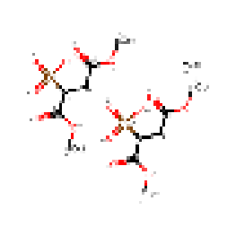 CCCCCCCCOC(=O)CC(C(=O)OCCCCCCCC)S(=O)(=O)[O-].CCCCCCCCOC(=O)CC(C(=O)OCCCCCCCC)S(=O)(=O)[O-].[Ca+2]